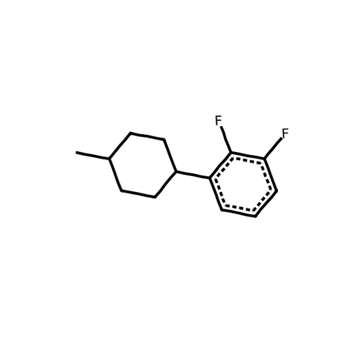 CC1CCC(c2cccc(F)c2F)CC1